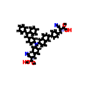 N#C/C(=C\c1ccc(-c2ccc3cc(N(c4ccc(C=C(c5ccccc5)c5ccccc5)cc4)c4ccc(/C=C(\C#N)C(=O)O)cc4)ccc3c2)cc1)C(=O)O